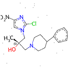 C[C@](O)(CN1CCC(c2ccccc2)CC1)Cn1cc([N+](=O)[O-])nc1Cl